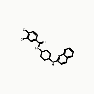 O=C(NC1CCC(Nc2ccc3ccccc3n2)CC1)c1ccc(Cl)c(Cl)c1